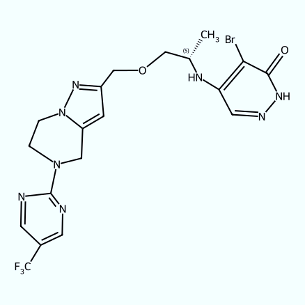 C[C@@H](COCc1cc2n(n1)CCN(c1ncc(C(F)(F)F)cn1)C2)Nc1cn[nH]c(=O)c1Br